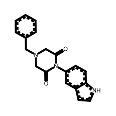 O=C1CN(Cc2ccccc2)CC(=O)N1c1ccc2[nH]ccc2c1